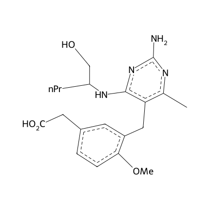 CCCC(CO)Nc1nc(N)nc(C)c1Cc1cc(CC(=O)O)ccc1OC